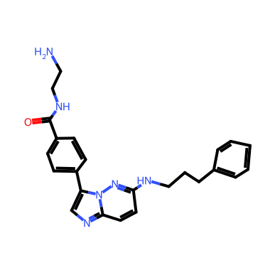 NCCNC(=O)c1ccc(-c2cnc3ccc(NCCCc4ccccc4)nn23)cc1